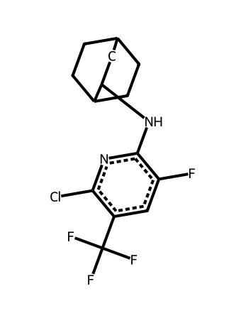 Fc1cc(C(F)(F)F)c(Cl)nc1NC1CC2CCC1CC2